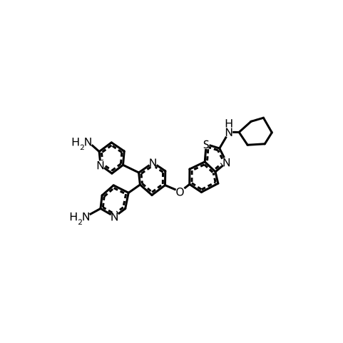 Nc1ccc(-c2cc(Oc3ccc4nc(NC5CCCCC5)sc4c3)cnc2-c2ccc(N)nc2)cn1